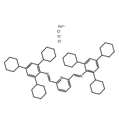 C(=Nc1c(C2CCCCC2)cc(C2CCCCC2)cc1C1CCCCC1)c1cccc(C=Nc2c(C3CCCCC3)cc(C3CCCCC3)cc2C2CCCCC2)n1.[Cl-].[Cl-].[Cl-].[Fe+3]